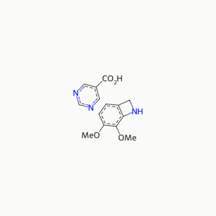 COc1ccc2c(c1OC)NC2.O=C(O)c1cncnc1